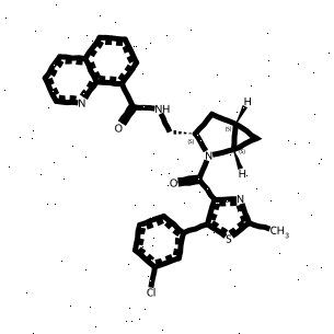 Cc1nc(C(=O)N2[C@H](CNC(=O)c3cccc4cccnc34)C[C@@H]3C[C@@H]32)c(-c2cccc(Cl)c2)s1